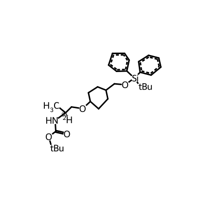 [2H][C@](C)(COC1CCC(CO[Si](c2ccccc2)(c2ccccc2)C(C)(C)C)CC1)NC(=O)OC(C)(C)C